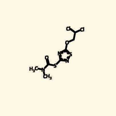 CN(C)C(=O)Sc1nsc(OCC(Cl)Cl)n1